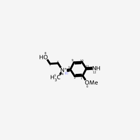 COC1=C/C(=[N+](\C)CCO)C=CC1=N